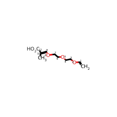 C=COCCOCCOC=C(C)C(=O)O